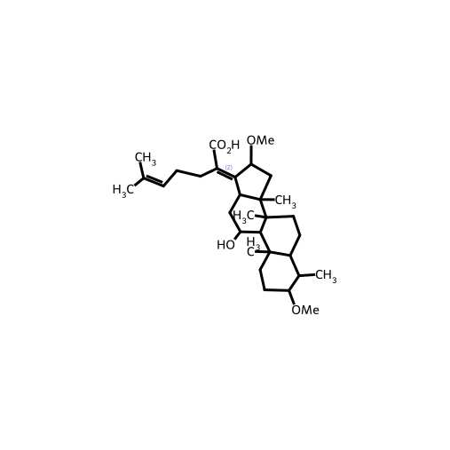 COC1CC2(C)C(CC(O)C3C4(C)CCC(OC)C(C)C4CCC32C)/C1=C(\CCC=C(C)C)C(=O)O